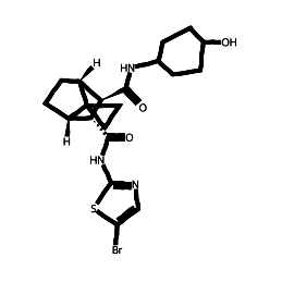 O=C(NC1CCC(O)CC1)[C@H]1[C@H](C(=O)Nc2ncc(Br)s2)[C@@H]2CC[C@H]1C21CC1